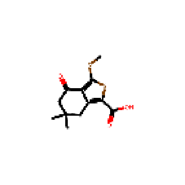 CSc1sc(C(=O)O)c2c1C(=O)CC(C)(C)C2